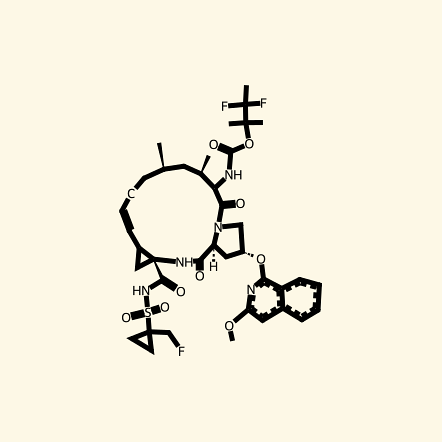 COc1cc2ccccc2c(O[C@@H]2C[C@H]3C(=O)N[C@]4(C(=O)NS(=O)(=O)C5(CF)CC5)CC4/C=C\CC[C@@H](C)C[C@@H](C)C(NC(=O)OC(C)(C)C(C)(F)F)C(=O)N3C2)n1